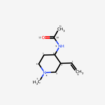 C=CC1CN(C)CCC1NC(C)=O